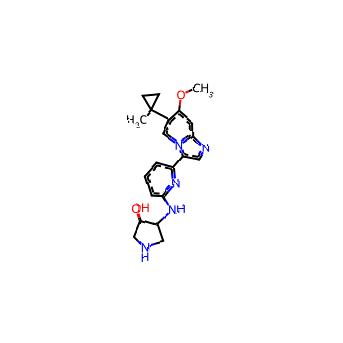 COc1cc2ncc(-c3cccc(NC4CNCC4O)n3)n2cc1C1(C)CC1